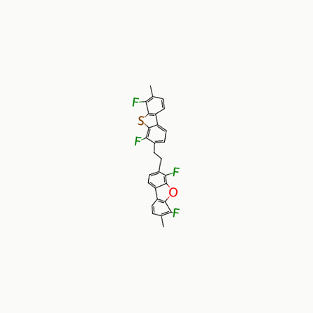 Cc1ccc2c(oc3c(F)c(CCc4ccc5c(sc6c(F)c(C)ccc65)c4F)ccc32)c1F